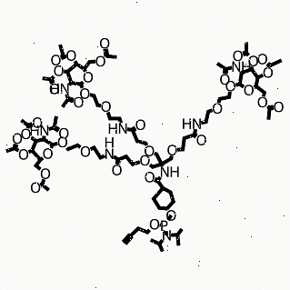 C#CCCOP(OC1CCC(C(=O)NC(COCCC(=O)NCCOCCOC2OC(COC(C)=O)C(OC(C)=O)C(OC(C)=O)C2NC(C)=O)(COCCC(=O)NCCOCCOC2OC(COC(C)=O)C(OC(C)=O)C(OC(C)=O)C2NC(C)=O)COCCC(=O)NCCOCCOC2OC(COC(C)=O)C(OC(C)=O)C(OC(C)=O)C2NC(C)=O)CC1)N(C(C)C)C(C)C